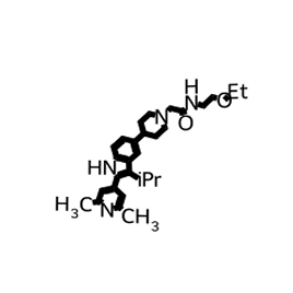 CCOCCNC(=O)CN1CCC(c2ccc3[nH]c(-c4cc(C)nc(C)c4)c(C(C)C)c3c2)CC1